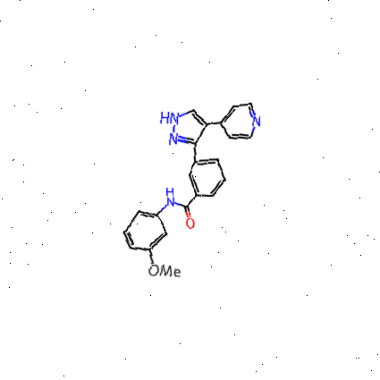 COc1cccc(NC(=O)c2cccc(-c3n[nH]cc3-c3ccncc3)c2)c1